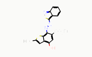 CCOC(=O)c1cc(O)c2cc(C)sc2c1/N=N/c1snc2ccccc12